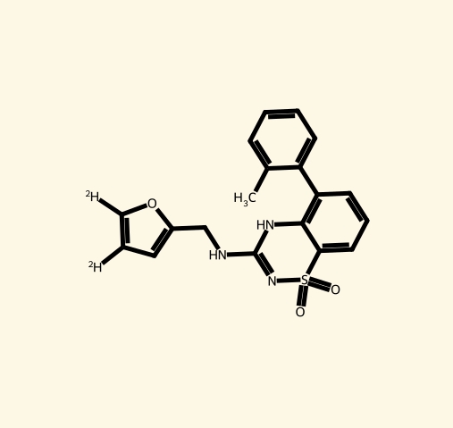 [2H]c1cc(CNC2=NS(=O)(=O)c3cccc(-c4ccccc4C)c3N2)oc1[2H]